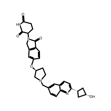 O=C1CCC(N2Cc3cc(O[C@H]4CCN(Cc5ccc6nc([C@H]7C[C@@H](O)C7)ccc6c5)C4)ccc3C2=O)C(=O)N1